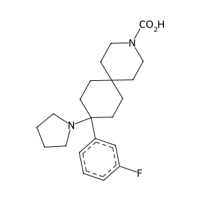 O=C(O)N1CCC2(CC1)CCC(c1cccc(F)c1)(N1CCCC1)CC2